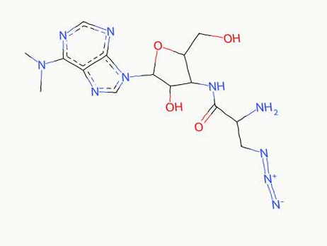 CN(C)c1ncnc2c1ncn2C1OC(CO)C(NC(=O)C(N)CN=[N+]=[N-])C1O